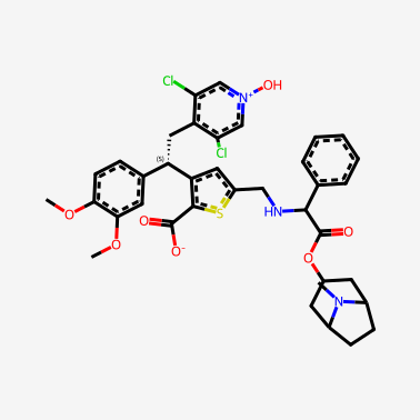 COc1ccc([C@H](Cc2c(Cl)c[n+](O)cc2Cl)c2cc(CNC(C(=O)OC3CC4CCC(C3)N4C)c3ccccc3)sc2C(=O)[O-])cc1OC